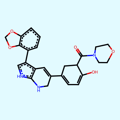 O=C(C1CC(C2=Cc3c(-c4cccc5c4OCO5)c[nH]c3NC2)=CC=C1O)N1CCOCC1